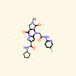 CC(C)N1Cc2c(n(CC(=O)Nc3ccc(F)cn3)c3cc(C(=O)NC4CCCC4)nn3c2=O)C1=O